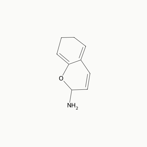 NC1C=CC2=CCCC=C2O1